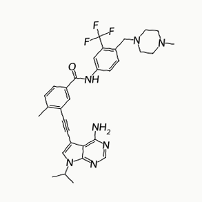 Cc1ccc(C(=O)Nc2ccc(CN3CCN(C)CC3)c(C(F)(F)F)c2)cc1C#Cc1cn(C(C)C)c2ncnc(N)c12